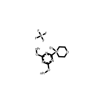 CCCOc1nc(OCCC)nc([N+]2(CC)CCOCC2)n1.F[B-](F)(F)F